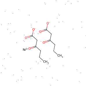 CCCC(=O)CC(=O)[O-].CCCC(=O)CC(=O)[O-].[Ni+2]